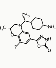 C[C@@H]1CN([C@@H](C)C2CCC(N)CC2)c2cc(-c3n[nH]c(=O)o3)cc(F)c2O1